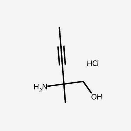 CC#CC(C)(N)CO.Cl